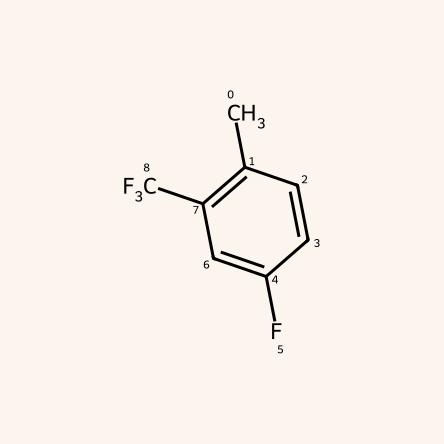 Cc1ccc(F)cc1C(F)(F)F